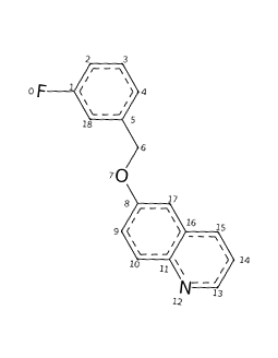 Fc1cccc(COc2ccc3ncccc3c2)c1